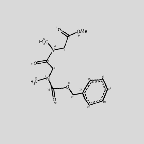 COC(=O)CN(C)C(=O)CN(C)C(=O)OCc1ccccc1